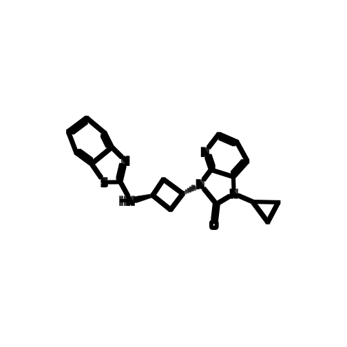 O=c1n(C2CC2)c2cccnc2n1[C@H]1C[C@H](Nc2nc3ccccc3s2)C1